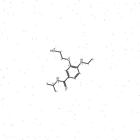 CCNc1ccc(C(=O)NC(C)C)cc1OCCO